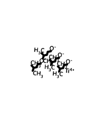 CCC(CC)CCC[O-].CCC(CC)CCC[O-].CCC(CC)CCC[O-].CCC(CC)CCC[O-].[Ti+4]